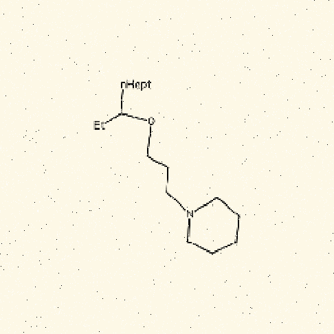 CCCCCCCC(CC)OCCCN1CCCCC1